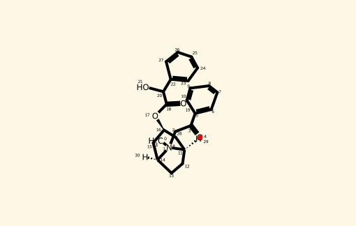 C[N+]1(CC(=O)c2ccccc2)[C@@H]2CC[C@H]1C[C@@H](OC(=O)C(O)c1ccccc1)C2